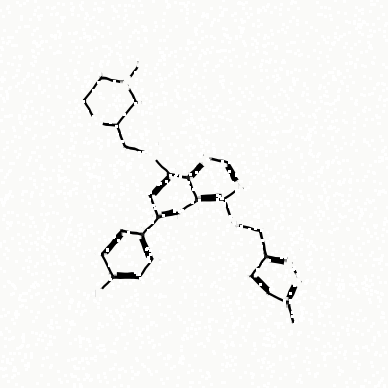 Cc1ccc(CNc2ncnc3c(OCC4CN(C)CCO4)cc(-c4ccc(F)cc4)cc23)nn1